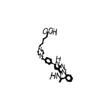 CC(Nc1ncnc2[nH]c(-c3ccc(CN4CCN(CCCCC(=O)O)CC4)cc3)cc12)c1ccccc1